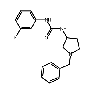 O=C(Nc1cccc(F)c1)NC1CCN(Cc2ccccc2)C1